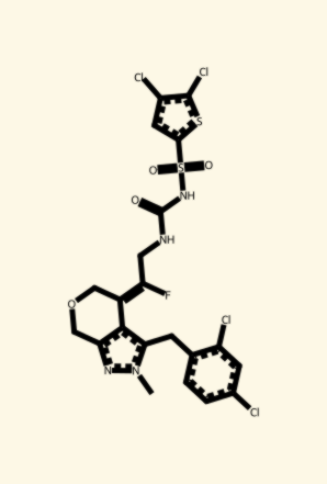 Cn1nc2c(c1Cc1ccc(Cl)cc1Cl)C(=C(F)CNC(=O)NS(=O)(=O)c1cc(Cl)c(Cl)s1)COC2